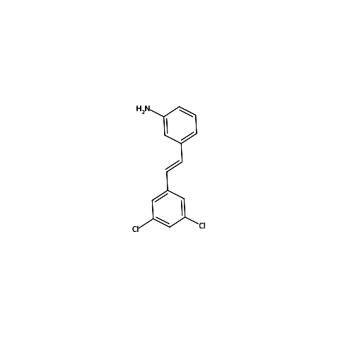 Nc1cccc(C=Cc2cc(Cl)cc(Cl)c2)c1